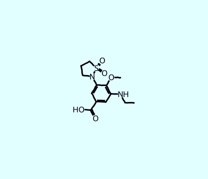 CCNc1cc(C(=O)O)cc(N2CCCS2(=O)=O)c1OC